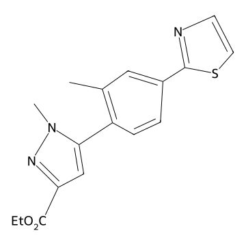 CCOC(=O)c1cc(-c2ccc(-c3nccs3)cc2C)n(C)n1